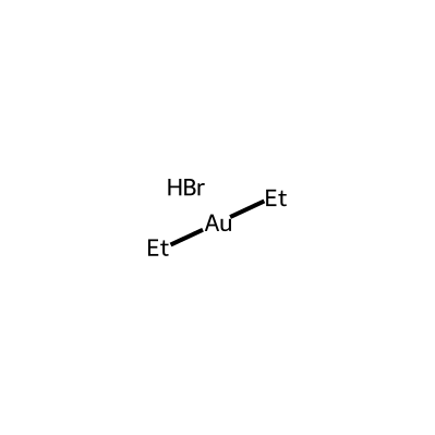 Br.C[CH2][Au][CH2]C